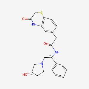 O=C1CSc2ccc(CC(=O)N[C@H](CN3CC[C@H](O)C3)c3ccccc3)cc2N1